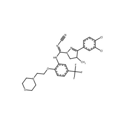 CC1CN(/C(=N\C#N)Nc2cc(C(F)(F)F)ccc2OCCN2CCOCC2)N=C1c1ccc(Cl)c(Cl)c1